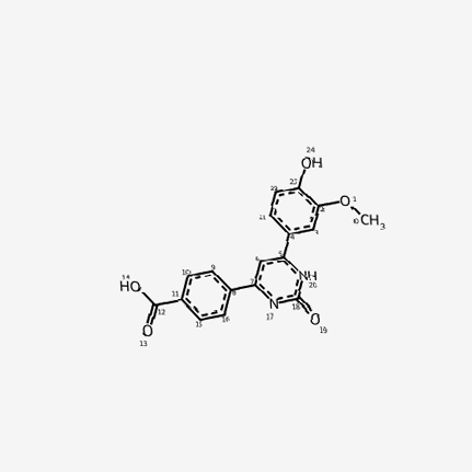 COc1cc(-c2cc(-c3ccc(C(=O)O)cc3)nc(=O)[nH]2)ccc1O